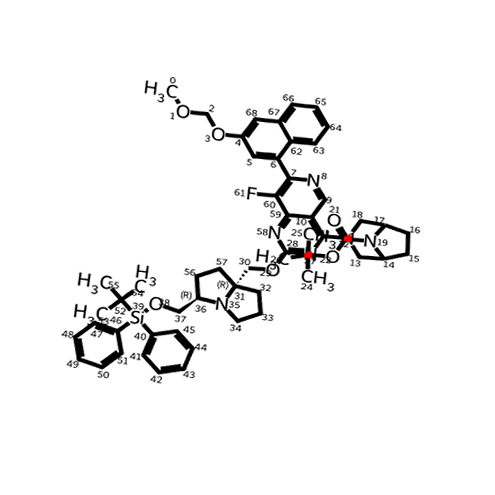 COCOc1cc(-c2ncc3c(N4CC5CCC(C4)N5C(=O)OC(C)(C)C)nc(OC[C@]45CCCN4[C@@H](CO[Si](c4ccccc4)(c4ccccc4)C(C)(C)C)CC5)nc3c2F)c2ccccc2c1